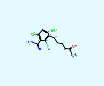 Cl.N=C(N)c1c(Cl)ccc(CCCCC(N)=O)c1F